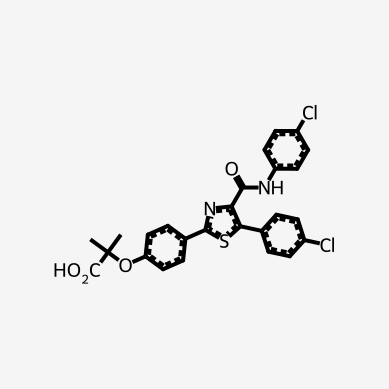 CC(C)(Oc1ccc(-c2nc(C(=O)Nc3ccc(Cl)cc3)c(-c3ccc(Cl)cc3)s2)cc1)C(=O)O